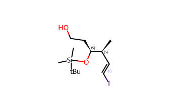 C[C@@H](/C=C/I)[C@H](CCO)O[Si](C)(C)C(C)(C)C